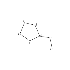 CCC1[CH]CCC1